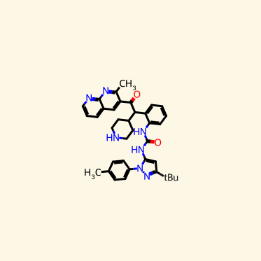 Cc1ccc(-n2nc(C(C)(C)C)cc2NC(=O)Nc2ccccc2C(C(=O)c2cc3cccnc3nc2C)C2CCNCC2)cc1